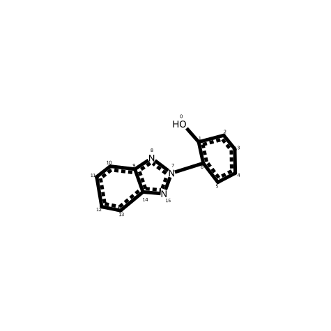 Oc1c[c]ccc1-n1nc2ccccc2n1